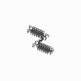 CC(C)C(F)(OC(=O)/C=C/C(=O)OC(F)(C(C)C)C(F)(F)C(F)(F)C(F)(F)C(F)(F)C(F)(F)C(F)F)C(F)(F)C(F)(F)C(F)(F)C(F)(F)C(F)(F)C(F)F